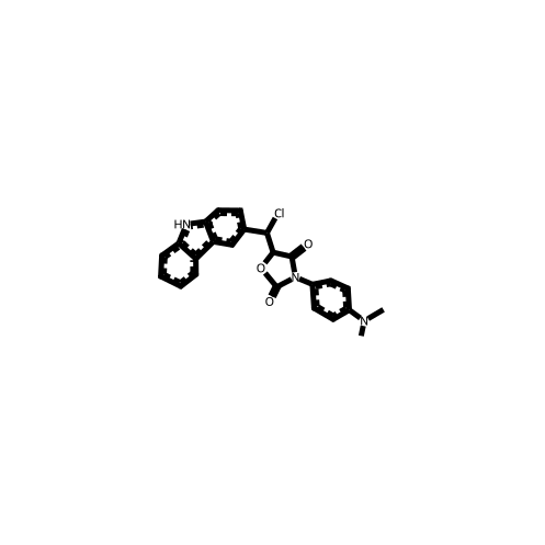 CN(C)c1ccc(N2C(=O)OC(C(Cl)c3ccc4[nH]c5ccccc5c4c3)C2=O)cc1